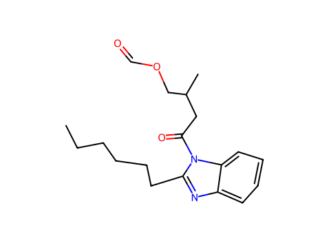 CCCCCCc1nc2ccccc2n1C(=O)CC(C)COC=O